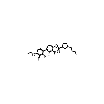 CCCCC1CCC(C(=O)Oc2ccc(-c3ccc(OCC)c(F)c3F)c(F)c2F)C1